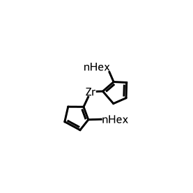 CCCCCCC1=[C]([Zr][C]2=C(CCCCCC)C=CC2)CC=C1